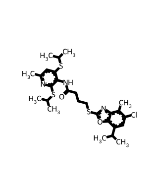 Cc1cc(SC(C)C)c(NC(=O)CCCSc2nc3c(C)c(Cl)cc(C(C)C)c3o2)c(SC(C)C)n1